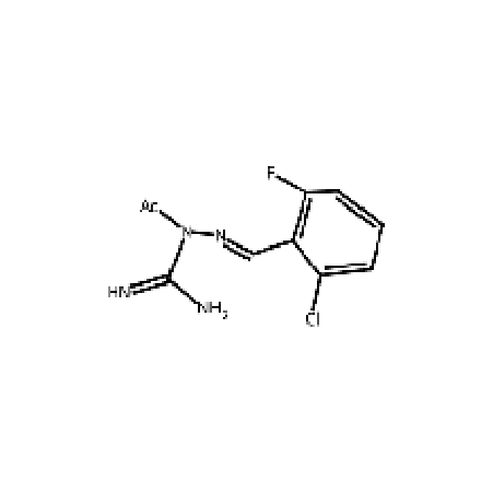 CC(=O)N(N=Cc1c(F)cccc1Cl)C(=N)N